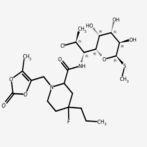 CCCC1(F)CCN(Cc2oc(=O)oc2C)C(C(=O)N[C@@H]([C@H]2O[C@H](SC)[C@H](O)[C@@H](O)[C@H]2O)[C@H](C)Cl)C1